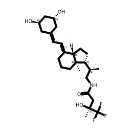 C[C@@H](CNC(=O)C[C@](C)(O)C(F)(F)F)[C@H]1CC[C@H]2/C(=C/C=C3C[C@@H](O)C[C@H](O)C3)CCC[C@]12C